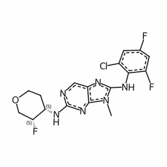 Cn1c(Nc2c(F)cc(F)cc2Cl)nc2cnc(N[C@H]3CCOC[C@H]3F)nc21